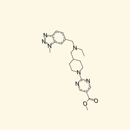 CCN(Cc1ccc2nnn(C)c2c1)CC1CCN(c2ncc(C(=O)OC)cn2)CC1